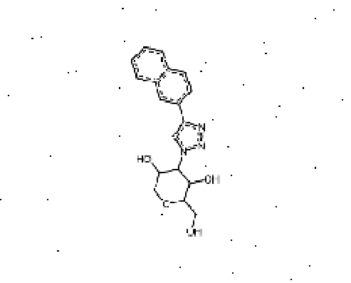 OCC1OCC(O)C(n2cc(-c3ccc4ccccc4c3)nn2)C1O